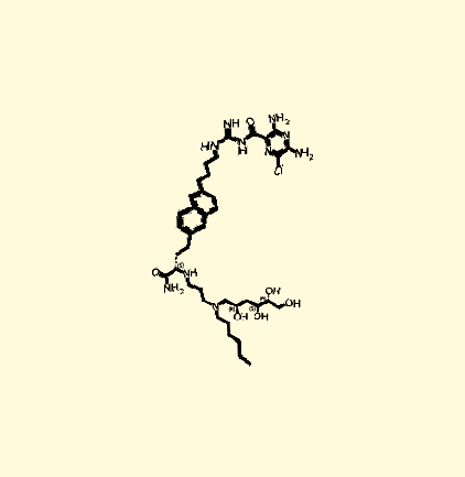 CCCCCCN(CCCN[C@@H](CCc1ccc2cc(CCCCNC(=N)NC(=O)c3nc(Cl)c(N)nc3N)ccc2c1)C(N)=O)C[C@H](O)C[C@H](O)[C@H](O)CO